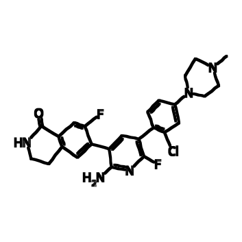 CN1CCN(c2ccc(-c3cc(-c4cc5c(cc4F)C(=O)NCC5)c(N)nc3F)c(Cl)c2)CC1